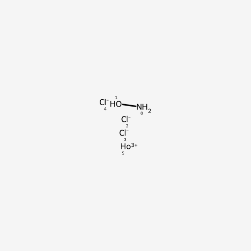 NO.[Cl-].[Cl-].[Cl-].[Ho+3]